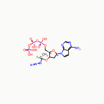 C[C@@](F)(N=[N+]=[N-])OC1C[C@H](n2ccc3c(N)ncnc32)O[C@@H]1COP(=O)(O)OP(=O)(O)OP(=O)(O)O